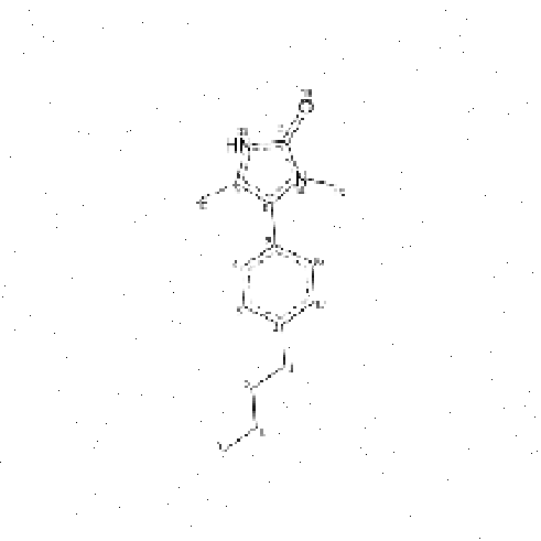 CCCCc1ccc(-c2c(C)[nH]c(=O)n2C)cc1